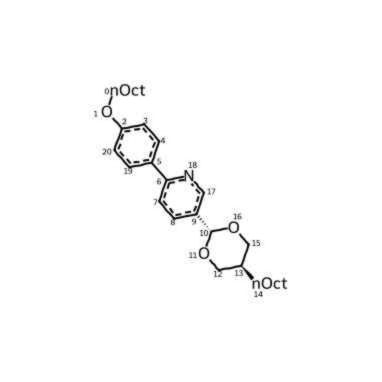 CCCCCCCCOc1ccc(-c2ccc([C@H]3OC[C@H](CCCCCCCC)CO3)cn2)cc1